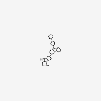 CC1CC=Cc2[nH]c3c(c21)C=CC(C1=CC2c4ccccc4N(c4ccc(C5=CCCC=C5)cc4)C2(C)C=C1)C3